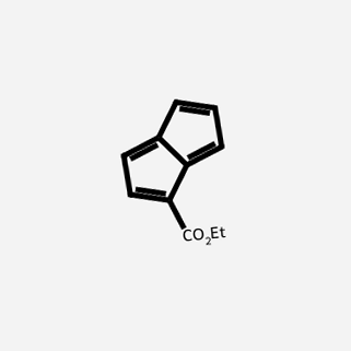 CCOC(=O)C1=CC=C2C=CC=C21